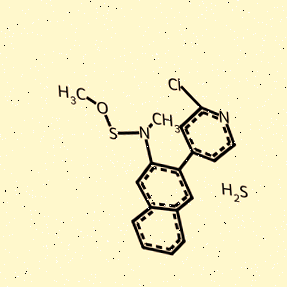 COSN(C)c1cc2ccccc2cc1-c1ccnc(Cl)c1.S